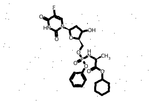 C[C@H](NP(=O)(OC[C@H]1O[C@@H](n2cc(F)c(=O)[nH]c2=O)CC1O)Oc1ccccc1)C(=O)OC1CCCCC1